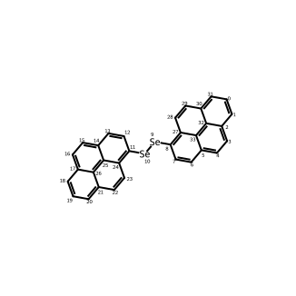 c1cc2ccc3ccc([Se][Se]c4ccc5ccc6cccc7ccc4c5c67)c4ccc(c1)c2c34